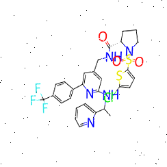 CC(Nc1cc(CNC(=O)[C@@H]2CCCN2S(=O)(=O)c2ccc(Cl)s2)cc(-c2ccc(C(F)(F)F)cc2)n1)c1ccccn1